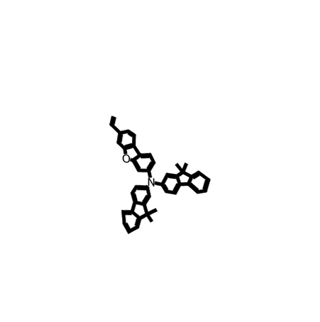 C=Cc1ccc2c(c1)oc1cc(N(c3ccc4c(c3)C(C)(C)c3ccccc3-4)c3ccc4c(c3)C(C)(C)c3ccccc3-4)ccc12